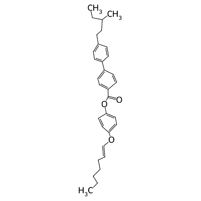 CCCCCC=COc1ccc(OC(=O)c2ccc(-c3ccc(CCC(C)CC)cc3)cc2)cc1